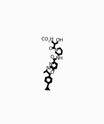 CC(N)[C@H](Oc1ccc(C(=O)N[C@@H]2CCCN(C(=O)C(CO)CC(=O)O)C2)nc1)c1ccc(C2CC2)cc1